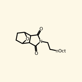 CCCCCCCCCCN1C(=O)C2C3CCC(O3)C2C1=O